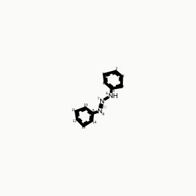 [c]1ccccc1N/N=N/c1ccccc1